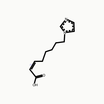 O=C(O)/C=C\CCCCCn1ccnc1